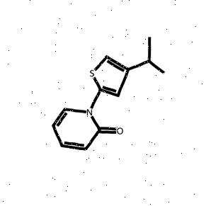 CC(C)c1csc(-n2ccccc2=O)c1